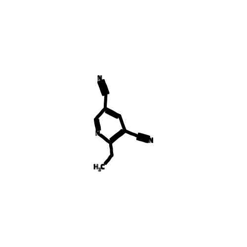 CCc1ncc(C#N)cc1C#N